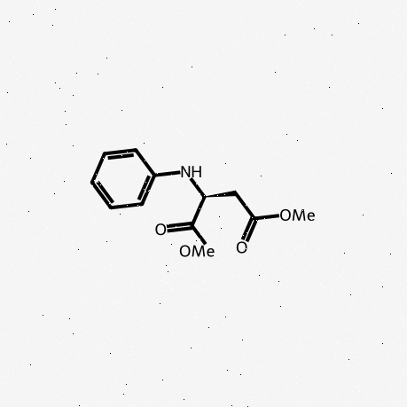 COC(=O)C[C@H](Nc1ccccc1)C(=O)OC